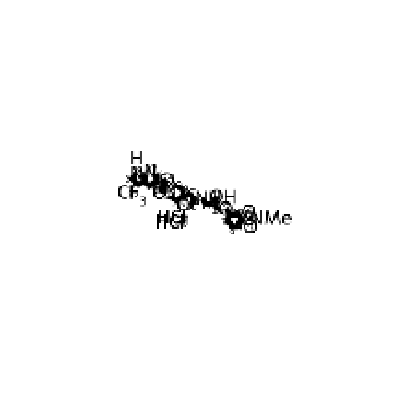 CNS(=O)(=O)c1cccc(OCC(O)CNC2COC3(CCN(S(=O)(=O)c4cnc5[nH]cc(C(F)(F)F)c5c4)CC3)C2)c1.Cl.Cl